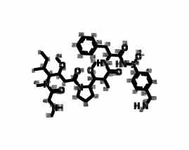 CCC(C)C(C(CC(=O)N1CCCC1C(OC)C(C)C(=O)NC(Cc1ccccc1)C(=O)N[S+]([O-])c1ccc(CN)cc1)OC)N(C)C(=O)CNC